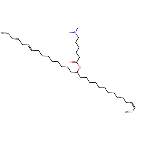 CCCCCC=CCC=CCCCCCCCCC(CCCCCCCCC=CC/C=C\CCCCC)OC(=O)CCCCCN(C)C